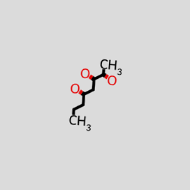 CCCC(=O)CC(=O)C(C)=O